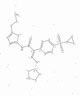 CSCc1cnc(NC(=O)/C(=N/O[C@@H]2CCOC2)c2ccc(S(=O)(=O)C3CC3)cc2)s1